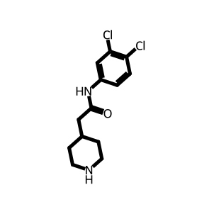 O=C(CC1CCNCC1)Nc1ccc(Cl)c(Cl)c1